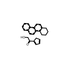 O=C(CO)C1=CC=CC1.c1ccc2c(c1)ccc1c3c(ccc12)CCCC3